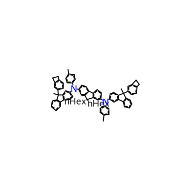 CCCCCCC1(CCCCCC)c2cc(N(c3ccc(C)cc3)c3ccc4c(c3)-c3ccccc3C4(C)c3ccc4c(c3)CC4)ccc2-c2ccc(N(c3ccc(C)cc3)c3ccc4c(c3)C(C)(c3ccc5c(c3)CC5)c3ccccc3-4)cc21